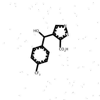 O=C(O)c1sncc1C(O)c1ccc(C(F)(F)F)cc1